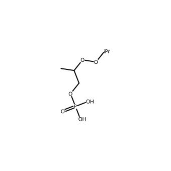 CC(C)OOC(C)COP(=O)(O)O